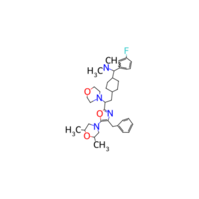 CC1CN(c2oc(C(CC3CCC(C(c4cccc(F)c4)N(C)C)CC3)N3CCOCC3)nc2Cc2ccccc2)CC(C)O1